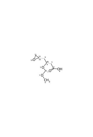 COCO[C@@H](CC(=O)O)C[C@H]1CO1